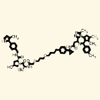 CC1=C(C)C2=C(C1)n1c(C)nnc1C(CC(=O)NC1(c3ccc(CCCCOCCCOCC(=O)N[C@H](C(=O)N4CC(O)C[C@H]4C(=O)NCc4ccc(-c5[nH]ccc5C)cc4)C(C)(C)C)cc3)CC1)N=C2c1ccc(C)cc1